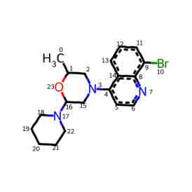 CC1CN(c2ccnc3c(Br)cccc23)CC(N2CCCCC2)O1